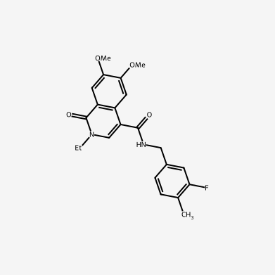 CCn1cc(C(=O)NCc2ccc(C)c(F)c2)c2cc(OC)c(OC)cc2c1=O